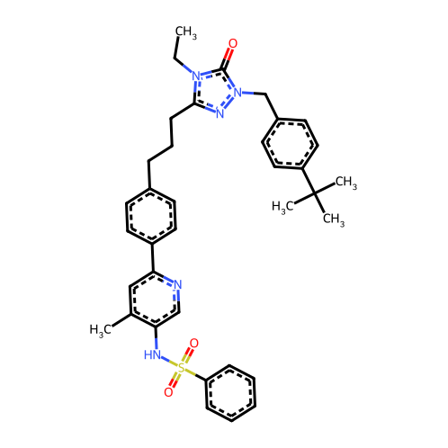 CCn1c(CCCc2ccc(-c3cc(C)c(NS(=O)(=O)c4ccccc4)cn3)cc2)nn(Cc2ccc(C(C)(C)C)cc2)c1=O